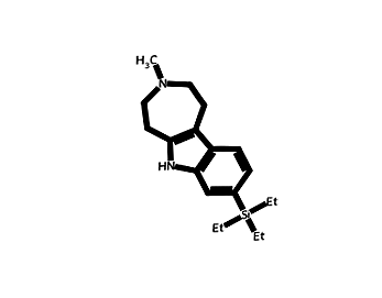 CC[Si](CC)(CC)c1ccc2c3c([nH]c2c1)CCN(C)CC3